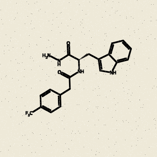 NNC(=O)[C@H](Cc1c[nH]c2ccccc12)NC(=O)Cc1ccc(C(F)(F)F)cc1